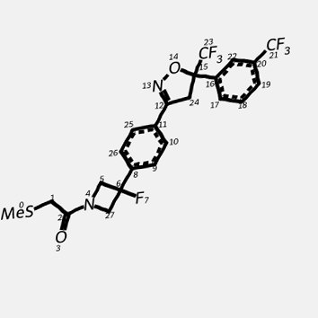 CSCC(=O)N1CC(F)(c2ccc(C3=NOC(c4cccc(C(F)(F)F)c4)(C(F)(F)F)C3)cc2)C1